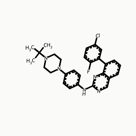 CC(C)(C)N1CCN(c2ccc(Nc3ncc4cccc(-c5cc(Cl)ccc5F)c4n3)cc2)CC1